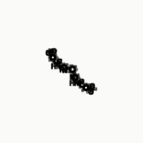 CS(=O)(=O)c1ccc(CC(=O)Nc2ccc([C@H]3CCC[C@H](c4ccc(NC(=O)Cc5ccc(S(C)(=O)=O)cc5)nn4)C3)nn2)cc1